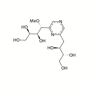 CO[C@H](c1cncc(C[C@H](O)[C@H](O)CO)n1)[C@@H](O)[C@H](O)CO